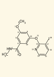 CNC(=O)c1cc(OC)cc(Oc2ncccc2I)c1